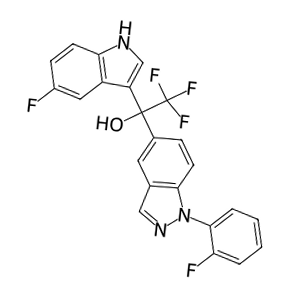 OC(c1ccc2c(cnn2-c2ccccc2F)c1)(c1c[nH]c2ccc(F)cc12)C(F)(F)F